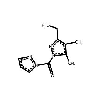 CCc1nn(C(=O)n2cccn2)c(C)c1C